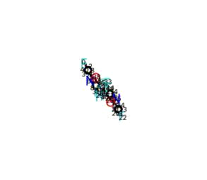 Fc1ccc(-c2nc3ccc(C(c4ccc5nc(-c6ccc(F)cc6)oc5c4)(C(F)(F)F)C(F)(F)F)cc3o2)cc1